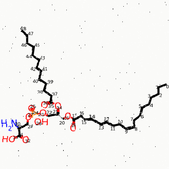 CCCCCCCC/C=C\CCCCCCCC(=O)OC[C@H](COP(=O)(O)OC[C@H](N)C(=O)O)OC(=O)CCCCCCCCCCCC